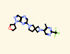 Cc1nc(C(F)(F)F)ncc1N1CC2(CCN(c3cnc4cnn(C5CCOC5)c4n3)C2)C1